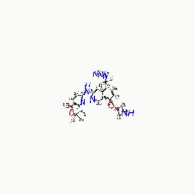 CC1c2nc(Nc3cc4c(C(C)(C)N=[N+]=[N-])ccc(OC5CNC5)c4cn3)ccc2C(=O)OC1(C)C